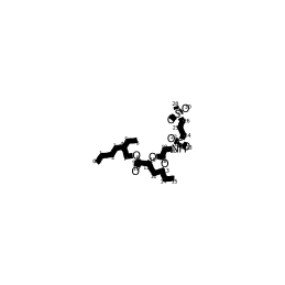 CCCCC(CC)COC(=O)C(CCCC)OC(=O)CNS(=O)(=O)CCCS(C)(=O)=O